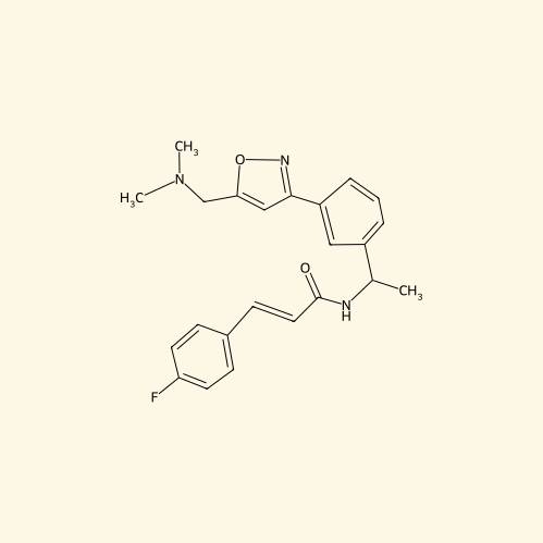 CC(NC(=O)C=Cc1ccc(F)cc1)c1cccc(-c2cc(CN(C)C)on2)c1